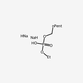 CCCCCCOP(=O)(O)OCC.[NaH].[NaH]